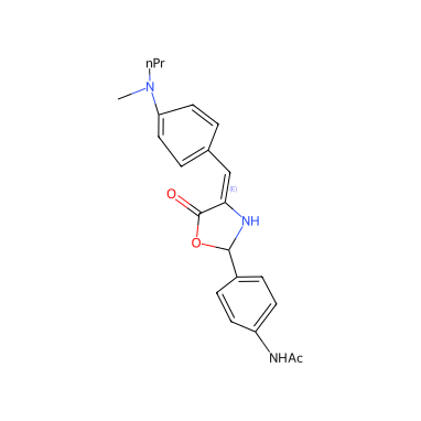 CCCN(C)c1ccc(/C=C2/NC(c3ccc(NC(C)=O)cc3)OC2=O)cc1